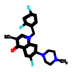 CN1CCN(c2cc3c(cc2F)c(=O)c(C#N)cn3Cc2ccc(F)cc2F)CC1